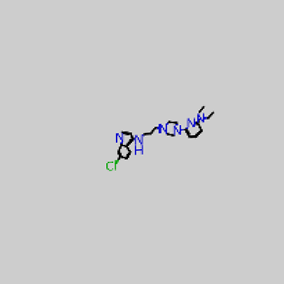 CCN(CC)c1cccc(N2CCN(CCCNc3ccnc4cc(Cl)ccc34)CC2)n1